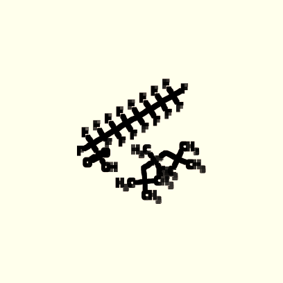 CC(C)(C)C[N+](C)(C)CC(C)(C)C.O=S(=O)(O)C(F)(F)C(F)(F)C(F)(F)C(F)(F)C(F)(F)C(F)(F)C(F)(F)C(F)(F)F